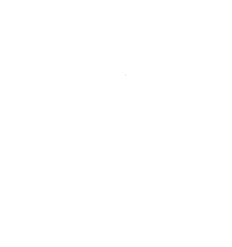 Cc1cc(-c2ccncc2C)cc(C(C)C)c1